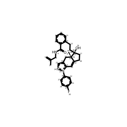 C=C(C)CNC(=O)c1ccccc1CC[C@]1(O)CCC2=Cc3c(cnn3-c3ccc(F)cc3)C[C@@]21C